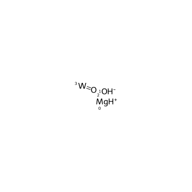 [MgH+].[OH-].[O]=[W]